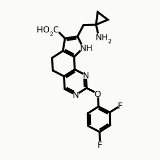 NC1(Cc2[nH]c3c(c2C(=O)O)CCc2cnc(Oc4ccc(F)cc4F)nc2-3)CC1